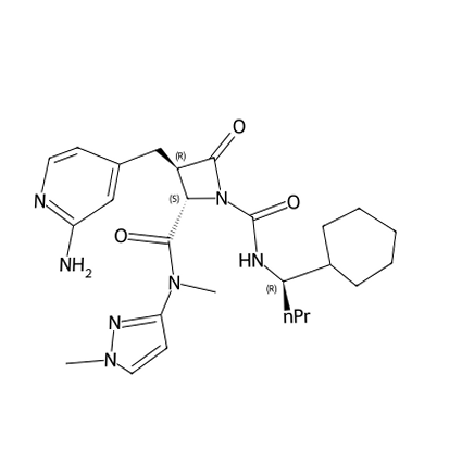 CCC[C@@H](NC(=O)N1C(=O)[C@H](Cc2ccnc(N)c2)[C@H]1C(=O)N(C)c1ccn(C)n1)C1CCCCC1